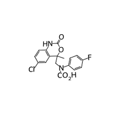 CC1(CN(C(=O)O)c2ccc(F)cc2)OC(=O)Nc2ccc(Cl)cc21